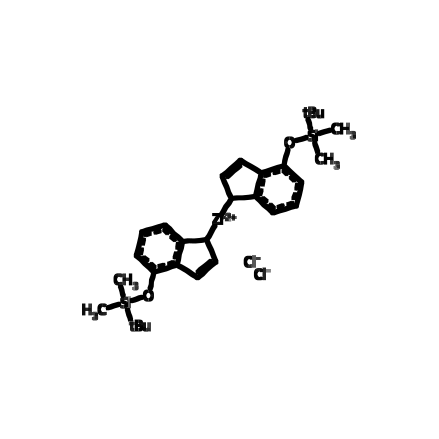 CC(C)(C)[Si](C)(C)Oc1cccc2c1C=C[CH]2[Zr+2][CH]1C=Cc2c(O[Si](C)(C)C(C)(C)C)cccc21.[Cl-].[Cl-]